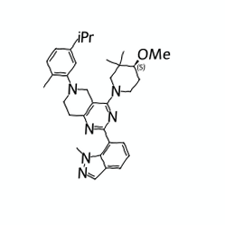 CO[C@H]1CCN(c2nc(-c3cccc4cnn(C)c34)nc3c2CN(c2cc(C(C)C)ccc2C)CC3)CC1(C)C